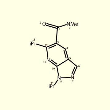 CNC(=O)c1cc2cnn(C(C)C)c2nc1C(C)C